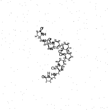 O=C1CCC(CNCc2nc3cc(-c4cccc(-c5cccc(-c6ccn7c(=O)c(CNCC8CCC(=O)N8)cnc7c6)c5Cl)c4Cl)ccn3c2Cl)N1